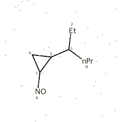 CCCC(CC)C1CC1N=O